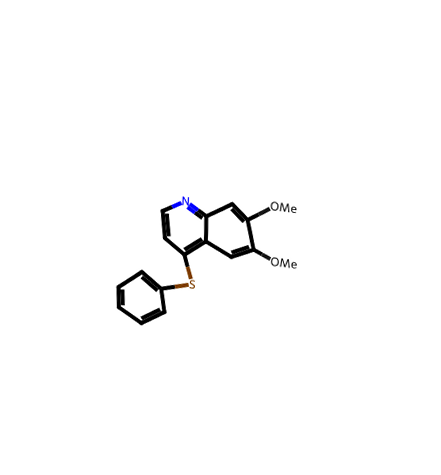 COc1cc2nccc(Sc3ccccc3)c2cc1OC